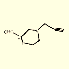 C#CCN1CCO[C@H](C=O)C1